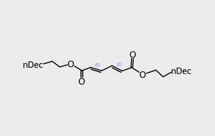 CCCCCCCCCCCCOC(=O)/C=C/C=C/C(=O)OCCCCCCCCCCCC